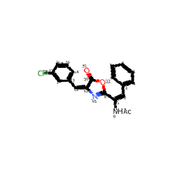 CC(=O)NC(=Cc1ccccc1)C1=NC(=Cc2cccc(Cl)c2)C(=O)O1